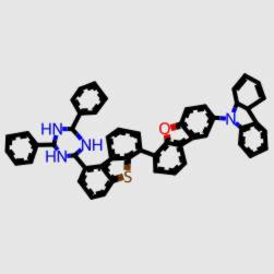 C1=CC2c3ccccc3N(c3ccc4oc5c(-c6cccc7c6sc6cccc(C8NC(c9ccccc9)NC(c9ccccc9)N8)c67)cccc5c4c3)C2C=C1